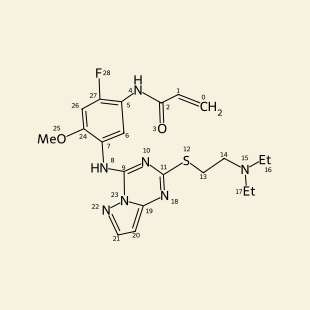 C=CC(=O)Nc1cc(Nc2nc(SCCN(CC)CC)nc3ccnn23)c(OC)cc1F